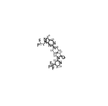 Cc1nn(CC(F)F)c2nc(N3CCC4(CC3)CC(=O)N(c3cc(C(F)(F)F)ccn3)C4)ncc12